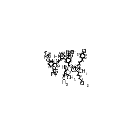 CCCCCCC[N+](CC)(CC)CCCCc1ccc(Cl)cc1.CCN(CC)CCNC(=O)c1ccc(NS(C)(=O)=O)cc1.O=C(NCC1CCCCN1)c1cc(OCC(F)(F)F)ccc1OCC(F)(F)F